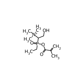 C=C(C)C(=O)OP(=O)(CC)C(CO)[N+](C)(C)C